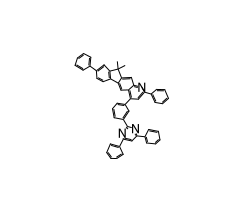 CC1(C)c2cc(-c3ccccc3)ccc2-c2cc3c(-c4cccc(-c5nc(-c6ccccc6)cc(-c6ccccc6)n5)c4)cc(-c4ccccc4)nc3cc21